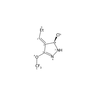 CC/C=C1/C(OC(F)(F)F)=NN[C@@H]1Cl